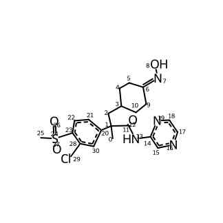 CC(CC1CCC(=NO)CC1)(C(=O)Nc1cnccn1)c1ccc(S(C)(=O)=O)c(Cl)c1